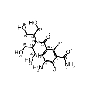 NC(=O)c1c(I)c(N)c(I)c(C(=O)N(C(CO)CO)C(CO)CO)c1I